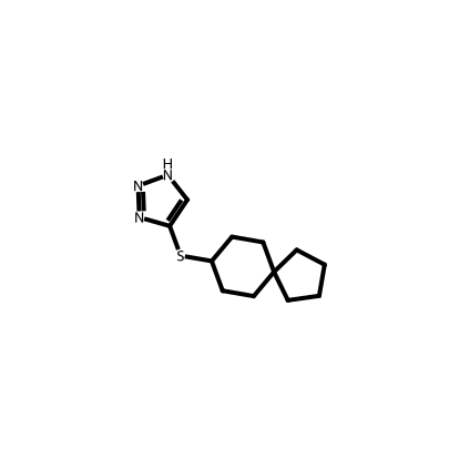 c1[nH]nnc1SC1CCC2(CCCC2)CC1